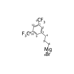 FC(F)(F)c1cc(CC[CH2][Mg][Br])cc(C(F)(F)F)c1